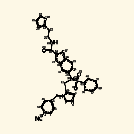 N#Cc1ccc(Cn2cncc2CN(c2ccc3sc(C(=O)NCCc4cccs4)cc3c2)S(=O)(=O)c2ccccc2)cc1